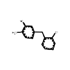 N#Cc1cc(Cc2ccccc2Cl)ccc1N